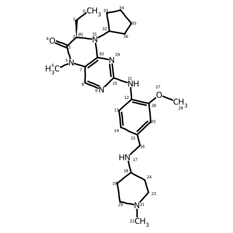 CC[C@@H]1C(=O)N(C)c2cnc(Nc3ccc(CNC4CCN(C)CC4)cc3OC)nc2N1C1CCCC1